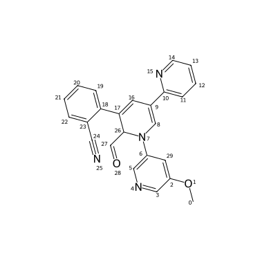 COc1cncc(N2C=C(c3ccccn3)C=C(c3ccccc3C#N)C2C=O)c1